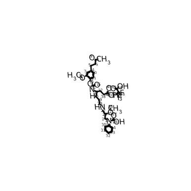 COc1cc(CCC(C)=O)ccc1OC(=O)NC(CCCNCC(CN(C(=O)O)c1ccccc1)OC)CCC(C)=O.O=C(O)C(F)(F)F